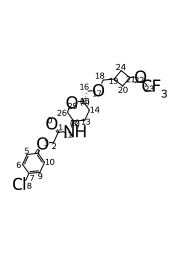 O=C(COc1ccc(Cl)cc1)N[C@@H]1CC[C@@H](COCC2CC(OC(F)(F)F)C2)OC1